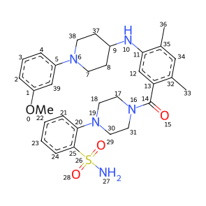 COc1cccc(N2CCC(Nc3cc(C(=O)N4CCN(c5ccccc5S(N)(=O)=O)CC4)c(C)cc3C)CC2)c1